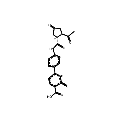 CC(=O)N1CC(=O)C[C@H]1C(=O)Nc1ccc(-c2ccc(C(=O)O)c(=O)[nH]2)cc1